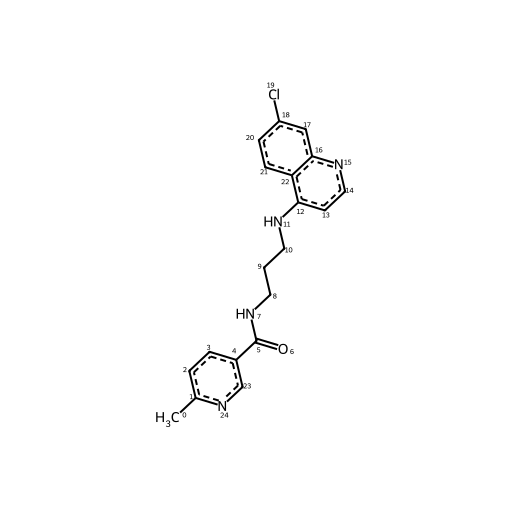 Cc1ccc(C(=O)NCCCNc2ccnc3cc(Cl)ccc23)cn1